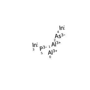 [Al+3].[Al+3].[As-3].[In].[In].[P-3]